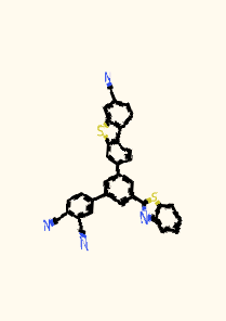 N#Cc1ccc2c(c1)sc1cc(-c3cc(-c4ccc(C#N)c(C#N)c4)cc(-c4nc5ccccc5s4)c3)ccc12